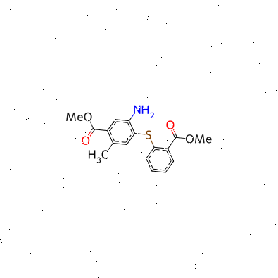 COC(=O)c1cc(N)c(Sc2ccccc2C(=O)OC)cc1C